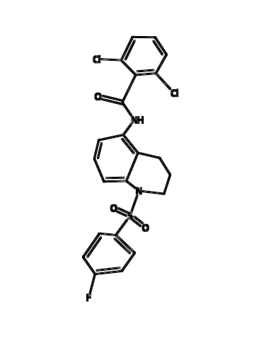 O=C(Nc1cccc2c1CCCN2S(=O)(=O)c1ccc(F)cc1)c1c(Cl)cccc1Cl